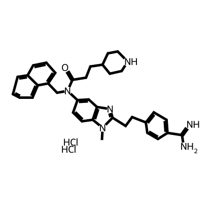 Cl.Cl.Cn1c(CCc2ccc(C(=N)N)cc2)nc2cc(N(Cc3cccc4ccccc34)C(=O)CCC3CCNCC3)ccc21